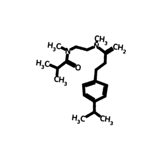 C=C(CCc1ccc(C(C)C)cc1)N(C)CCN(C)C(=O)C(C)C